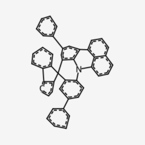 c1ccc(-c2ccc3c(c2)C2(c4ccccc4-c4ccccc42)c2cc(-c4ccccc4)cc4c2N3c2cccc3cccc-4c23)cc1